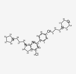 Clc1nc(-c2ccc(OCCCN3CCOCC3)cc2)nc2c1CCN2CCCN1CCCC1